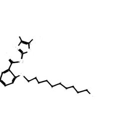 Cc1nc(NC(=O)c2ccccc2NCCCCCCCCCCN)sc1C